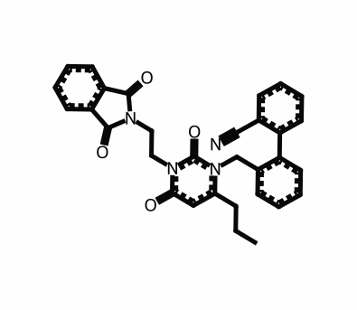 CCCc1cc(=O)n(CCN2C(=O)c3ccccc3C2=O)c(=O)n1Cc1ccccc1-c1ccccc1C#N